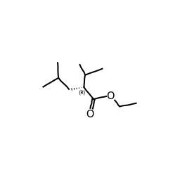 CCOC(=O)[C@H](CC(C)C)C(C)C